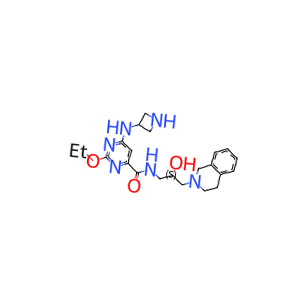 CCOc1nc(NC2CNC2)cc(C(=O)NC[C@H](O)CN2CCc3ccccc3C2)n1